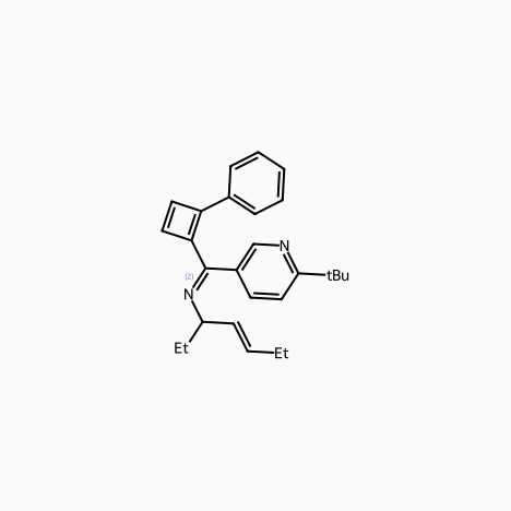 CCC=CC(CC)/N=C(/C1=C(c2ccccc2)C=C1)c1ccc(C(C)(C)C)nc1